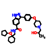 CC(O)CN1CCC(Oc2ccc(-c3n[nH]c4ccc(C(=O)NCC5(OC6CCCC6)CCCCC5)cc34)cc2)CC1